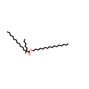 CCCCCCCCCCCCCCCCOC(=O)C(C)(CCCCC)CCCCCCCCCCC